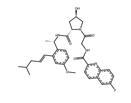 COc1ccc([C@H](C)NC(=O)[C@@H]2C[C@@H](O)CN2C(=O)CNC(=O)c2ccc3cc(F)ccc3n2)c(/C=C/CC(C)C)c1